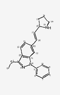 CSc1nn(-c2ccccc2)c2cc(/C=C/C3CCCN3)ccc12